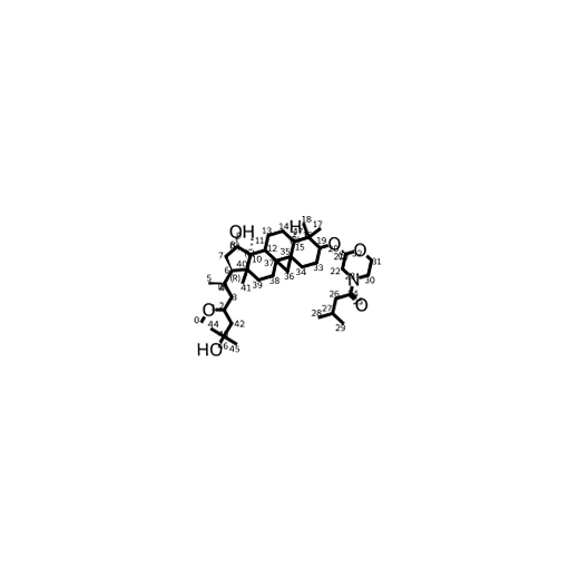 COC(C[C@@H](C)[C@H]1C[C@H](O)[C@@]2(C)C3CC[C@H]4C(C)(C)C(O[C@H]5CN(C(=O)CC(C)C)CCO5)CCC45CC35CCC12C)CC(C)(C)O